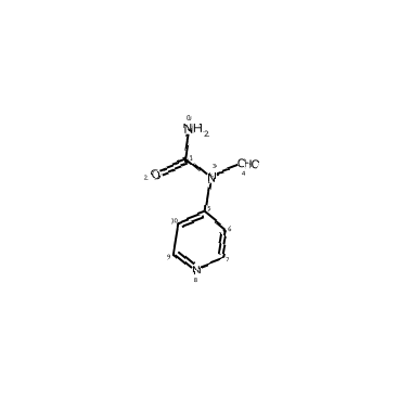 NC(=O)N(C=O)c1ccncc1